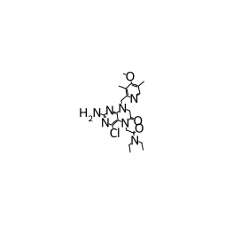 CCN(CC)C(=O)CN1C(=O)CN(Cc2ncc(C)c(OC)c2C)c2nc(N)nc(Cl)c21